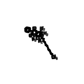 CCCCCCCCCCCON1C(C)(C)CC2(CC(=O)N(c3ccccc3)C(=O)O2)CC1(C)C